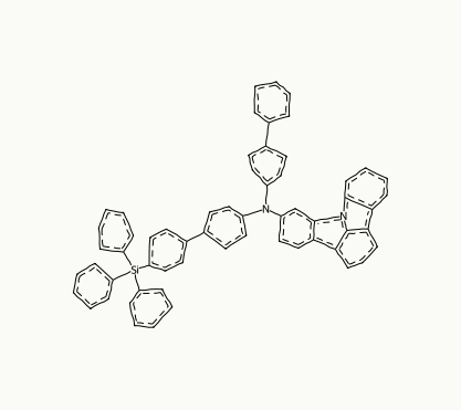 c1ccc(-c2ccc(N(c3ccc(-c4ccc([Si](c5ccccc5)(c5ccccc5)c5ccccc5)cc4)cc3)c3ccc4c5cccc6c7ccccc7n(c4c3)c65)cc2)cc1